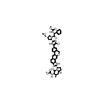 COC[C@H]1C[C@@H](c2nc(Cl)c(-c3ccc4c(c3)COc3cc5c(ccc6nc([C@@H]7CC[C@@H]8CC(C)[C@H](NC(=O)OC)C(=O)N87)[nH]c65)cc3-4)[nH]2)N(C(=O)[C@H](NC(=O)OC)c2ccccc2)C1